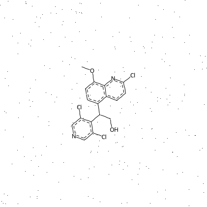 COc1ccc(C(CO)c2c(Cl)cncc2Cl)c2ccc(Cl)nc12